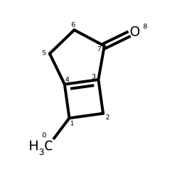 CC1CC2=C1CCC2=O